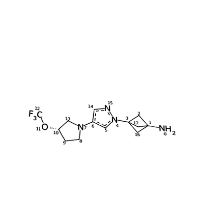 NC12CC(n3cc(N4CC[C@H](OC(F)(F)F)C4)cn3)(C1)C2